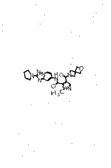 Cn1ncc(C(=O)N2CC3(COC3)C2)c1C(=O)Nc1ccn2nc(N3CCCC3)nc2c1